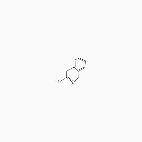 CC(C)(C)C1=NCc2ccccc2C1